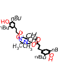 CCCCc1cc(CCC(=O)OCCN2C(C)(C)[CH]N(OC(=O)CCc3cc(CCCC)c(O)c(CCCC)c3)CC2(C)C)cc(CCCC)c1O